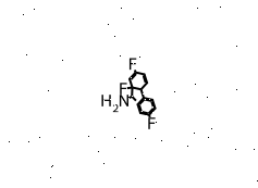 CC(N)C1(F)C=C(F)C=CC1c1ccc(F)cc1